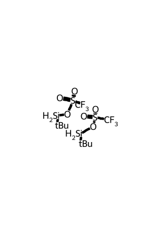 CC(C)(C)[SiH2]OS(=O)(=O)C(F)(F)F.CC(C)(C)[SiH2]OS(=O)(=O)C(F)(F)F